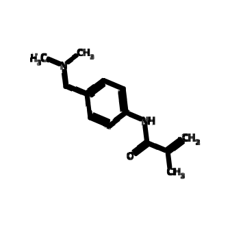 C=C(C)C(=O)Nc1ccc(CN(C)C)cc1